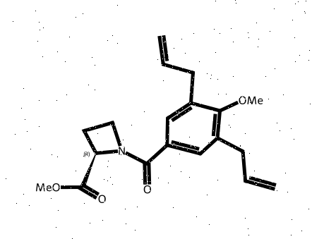 C=CCc1cc(C(=O)N2CC[C@@H]2C(=O)OC)cc(CC=C)c1OC